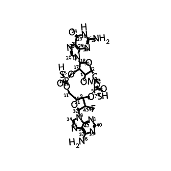 COC1C2COP(=O)(S)OC3C(COP(=O)(S)OC1C(n1cnc4c(=O)[nH]c(N)nc41)O2)OC(n1cnc2c(N)ncnc21)C3F